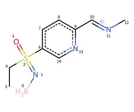 BN=S(=O)(CC)c1ccc(/C=N/C)nc1